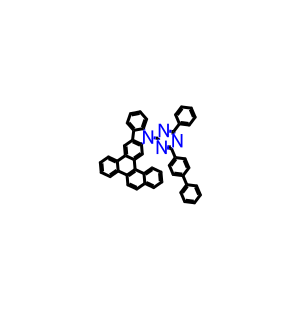 c1ccc(-c2ccc(-c3nc(-c4ccccc4)nc(-n4c5ccccc5c5cc6c7ccccc7c7ccc8ccccc8c7c6cc54)n3)cc2)cc1